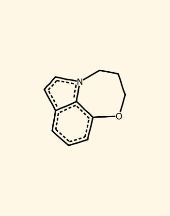 c1cc2c3c(c1)ccn3CCCO2